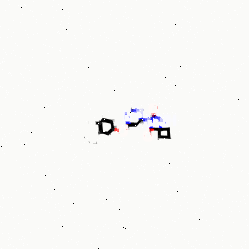 Cc1ccc(Oc2cc(N3C(=O)NC4(CCC4)C3=O)ncn2)cc1C#N